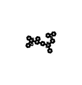 c1ccc(-c2cc(-c3cccc(-n4c5ccccc5c5ccccc54)c3)nc(-c3ccc(-c4ccc(-c5nc6ccccc6c6c5oc5ccccc56)c5ccccc45)cc3)n2)cc1